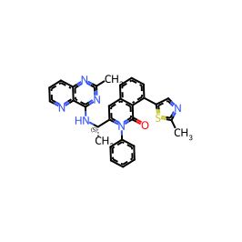 Cc1nc(N[C@@H](C)c2cc3cccc(-c4cnc(C)s4)c3c(=O)n2-c2ccccc2)c2ncccc2n1